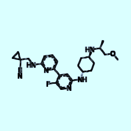 COC[C@H](C)N[C@H]1CC[C@H](Nc2cc(-c3cccc(NCC4(C#N)CC4)n3)c(F)cn2)CC1